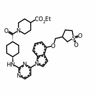 CCOC(=O)C1CCN(C(=O)[C@H]2CC[C@H](Nc3nccc(-n4ccc5c(OCC6CCS(=O)(=O)C6)cccc54)n3)CC2)CC1